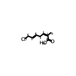 CC(=CCC=CCCl)C(=O)O